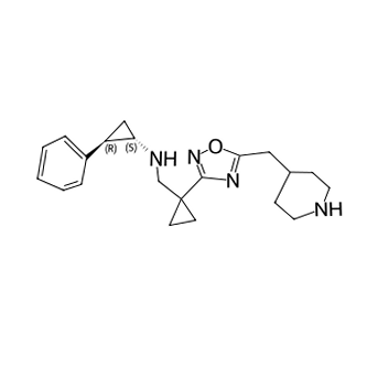 c1ccc([C@H]2C[C@@H]2NCC2(c3noc(CC4CCNCC4)n3)CC2)cc1